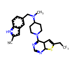 CN(Cc1ccc2[nH]c(C#N)cc2c1)C1CCN(C2=NC=NC3SC(CC(F)(F)F)=CC23)CC1